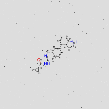 O=C(Nc1cc2ccc(-c3cccc4[nH]ccc34)cc2cn1)C1CC1